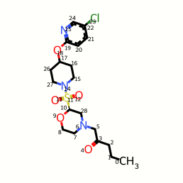 CCCC(=O)CN1CCO[C@@H](S(=O)(=O)N2CCC(Oc3ccc(Cl)cn3)CC2)C1